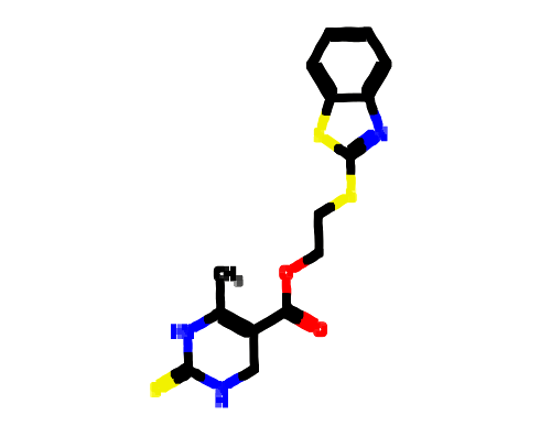 CC1=C(C(=O)OCCSc2nc3ccccc3s2)CNC(=S)N1